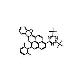 Cc1cccc(C)c1-c1cc2ccc(-c3nc(C(C)(C)C)nc(C(C)(C)C)n3)c3ccc4c5oc6ccccc6c5cc1c4c23